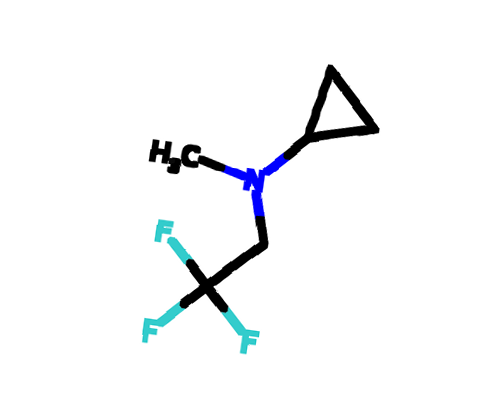 CN(CC(F)(F)F)C1CC1